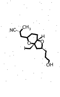 C[C@@H](C#N)CC1CC[C@@H]2O[C@@H](CCCO)C[C@]2(CI)O1